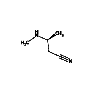 CN[C@@H](C)CC#N